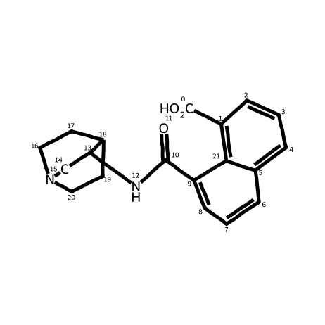 O=C(O)c1cccc2cccc(C(=O)NC3CN4CCC3CC4)c12